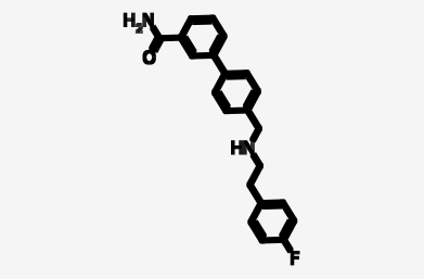 NC(=O)c1cccc(-c2ccc(CNCCc3ccc(F)cc3)cc2)c1